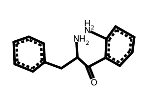 Nc1ccccc1C(=O)C(N)Cc1ccccc1